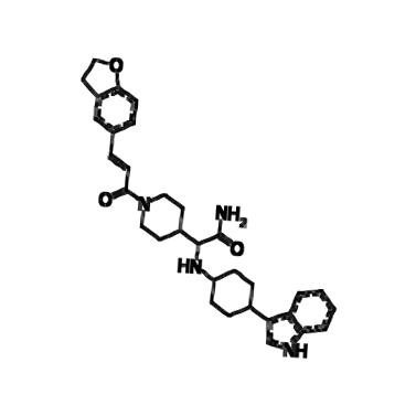 NC(=O)C(NC1CCC(c2c[nH]c3ccccc23)CC1)C1CCN(C(=O)C=Cc2ccc3c(c2)CCO3)CC1